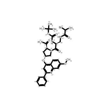 COc1ccc2c(O[C@@H]3C[C@@H](C(N)=O)N(C(=O)[C@H](CNC(=O)C(C)Br)NC(=O)OC(C)(C)C)C3)cc(-c3ccccc3)nc2c1